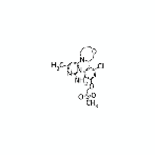 Cc1cc(N2CCCOC[C@@H]2c2ccc(OCS(C)(=O)=O)cc2Cl)nc(N)n1